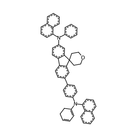 C1=CCCC(N(c2ccc(-c3ccc4c(c3)C3(CCOCC3)c3cc(N(c5ccccc5)c5cccc6ccccc56)ccc3-4)cc2)c2cccc3ccccc23)=C1